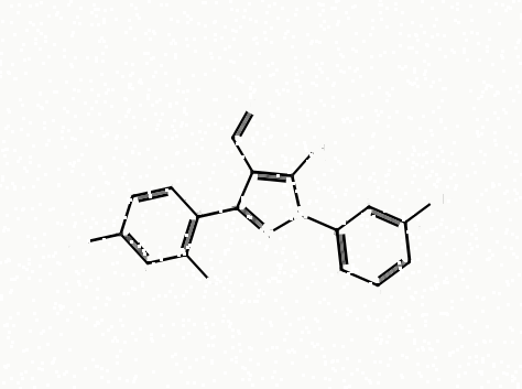 O=Cc1c(-c2ccc(F)cc2F)nn(-c2cccc(Cl)c2)c1Br